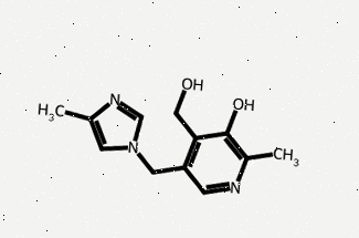 Cc1cn(Cc2cnc(C)c(O)c2CO)cn1